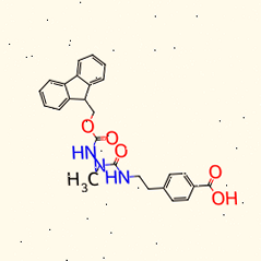 CN(NC(=O)OCC1c2ccccc2-c2ccccc21)C(=O)NCCc1ccc(C(=O)O)cc1